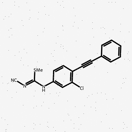 CS/C(=N\C#N)Nc1ccc(C#Cc2ccccc2)c(Cl)c1